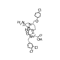 N[C@@H]1C[C@H]2C(=O)N([C@H](CCC(=O)O)C(=O)NCc3ccc(Cl)c(Cl)c3)CCC(COc3ccc(Cl)cc3)N2C1